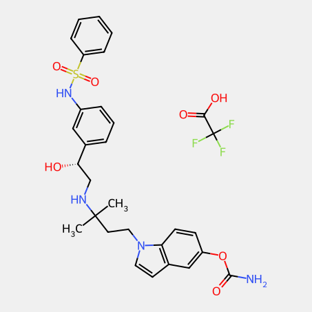 CC(C)(CCn1ccc2cc(OC(N)=O)ccc21)NC[C@H](O)c1cccc(NS(=O)(=O)c2ccccc2)c1.O=C(O)C(F)(F)F